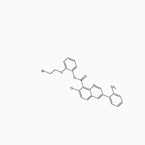 Cc1ccccc1-c1cnc2c(C(=O)Oc3ccccc3OCCBr)c(Cl)ccc2c1